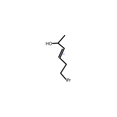 CC(O)/C=C/CCC(C)C